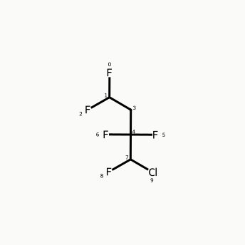 FC(F)CC(F)(F)C(F)Cl